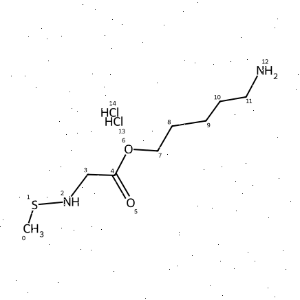 CSNCC(=O)OCCCCCN.Cl.Cl